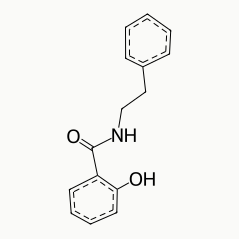 O=C(NCCc1ccccc1)c1ccccc1O